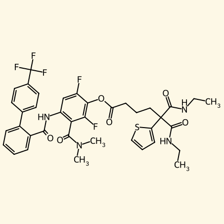 CCNC(=O)C(CCCC(=O)Oc1c(F)cc(NC(=O)c2ccccc2-c2ccc(C(F)(F)F)cc2)c(C(=O)N(C)C)c1F)(C(=O)NCC)c1cccs1